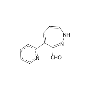 O=CC1=NNC=CC=C1c1ccccn1